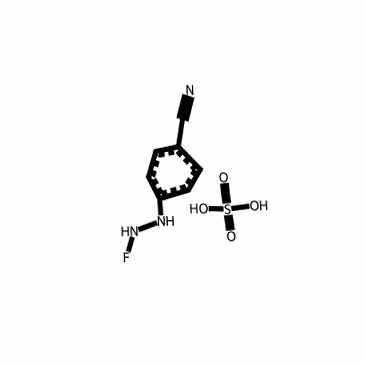 N#Cc1ccc(NNF)cc1.O=S(=O)(O)O